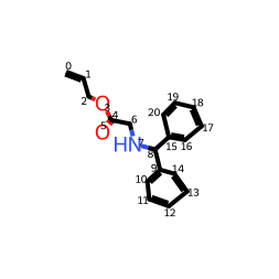 C=CCOC(=O)CNC(c1ccccc1)c1ccccc1